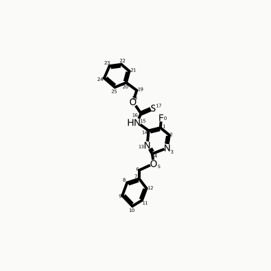 Fc1cnc(OCc2ccccc2)nc1NC(=S)OCc1ccccc1